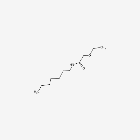 CCCCCCCNC(=O)COCC